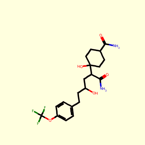 NC(=O)C1CCC(O)(C(CC(O)[CH]Cc2ccc(OC(F)(F)F)cc2)C(N)=O)CC1